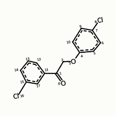 O=C(COc1ccc(Cl)cc1)c1cccc(Cl)c1